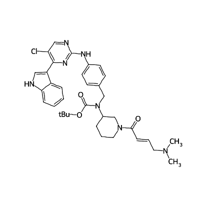 CN(C)C/C=C/C(=O)N1CCCC(N(Cc2ccc(Nc3ncc(Cl)c(-c4c[nH]c5ccccc45)n3)cc2)C(=O)OC(C)(C)C)C1